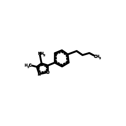 CCCCc1ccc(-c2onc(C)c2N)cc1